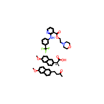 COc1ccc2cc(CCC(C)=O)ccc2c1.COc1ccc2cc([C@H](C)C(=O)O)ccc2c1.O=C(OCCN1CCOCC1)c1cccnc1Nc1cccc(C(F)(F)F)c1